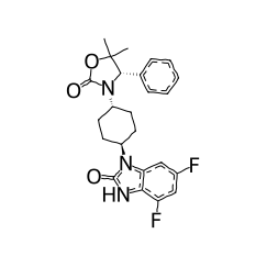 CC1(C)OC(=O)N([C@H]2CC[C@H](n3c(=O)[nH]c4c(F)cc(F)cc43)CC2)[C@H]1c1ccccc1